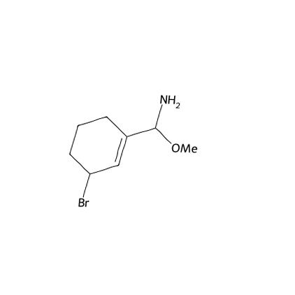 COC(N)C1=CC(Br)CCC1